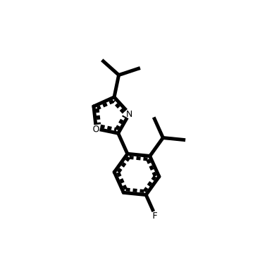 CC(C)c1coc(-c2ccc(F)cc2C(C)C)n1